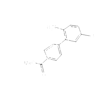 COC(=O)c1ccc(-c2cc(Cl)ccc2N)cc1